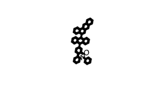 O=c1c2cc(-c3c4ccccc4c(-c4cc5cc6ccccc6cc5c5ccccc45)c4ccccc34)ccc2c2ccccc2n1-c1ccccc1